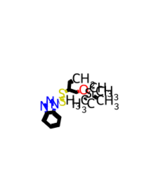 C=CC(CO[Si](C)(C)C(C)(C)C)SSn1nnc2ccccc21